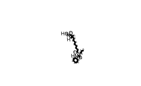 CCCN(C(=O)CCCCCCCC(C)(C)C(=O)NO)C(=O)NC1CCCCC1